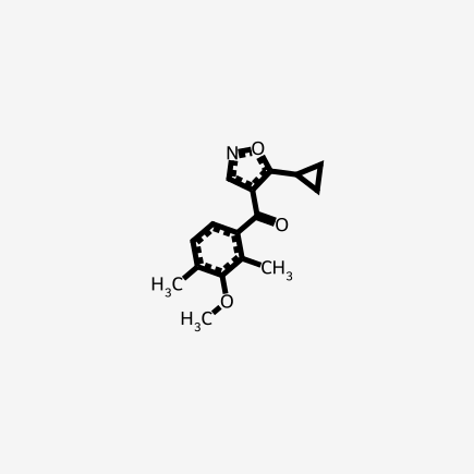 COc1c(C)ccc(C(=O)c2cnoc2C2CC2)c1C